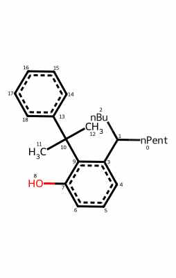 CCCCCC(CCCC)c1cccc(O)c1C(C)(C)c1ccccc1